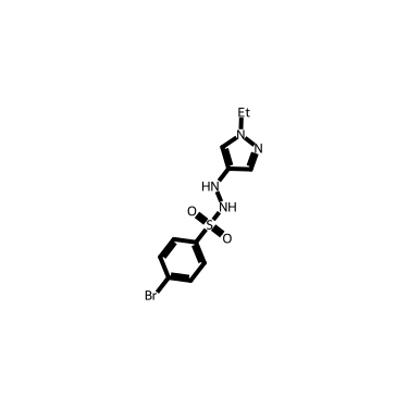 CCn1cc(NNS(=O)(=O)c2ccc(Br)cc2)cn1